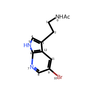 CC(=O)NCCc1c[nH]c2ncc(Br)cc12